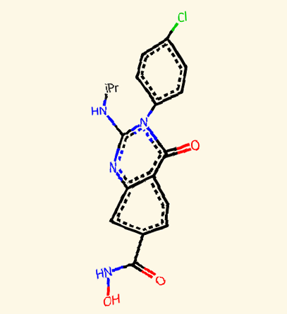 CC(C)Nc1nc2cc(C(=O)NO)ccc2c(=O)n1-c1ccc(Cl)cc1